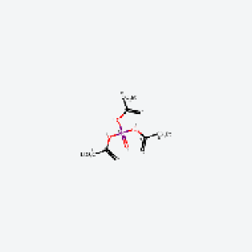 C=C(OP(=O)(OC(=C)C(=O)OCC)OC(=C)C(=O)OCC)C(=O)OCC